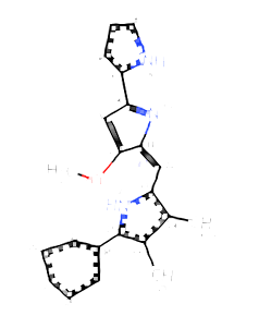 COC1=CC(c2ccc[nH]2)=N/C1=C/c1[nH]c(-c2ccccc2)c(C)c1C